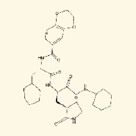 O=C(NC1CCCCC1)C(=O)[C@@H](C[C@H]1CCNC1=O)NC(=O)[C@H](CC1CCCCC1)NC(=O)c1ccc2c(c1)OCCO2